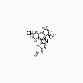 C=CCC1Cc2nn(-c3ccccc3OC)c(-c3ccc(Cl)cc3)c2C1